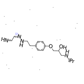 CC(C)NCC(O)COc1ccc(CCN/N=C\C=N)cc1